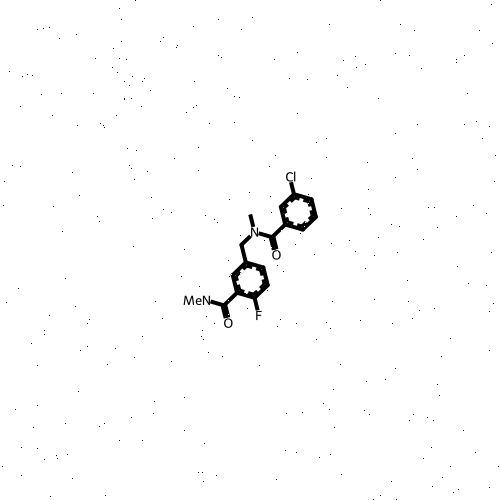 CNC(=O)c1cc(CN(C)C(=O)c2cccc(Cl)c2)ccc1F